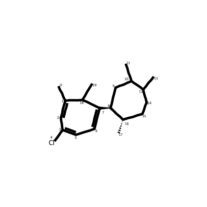 CC1=CC(Cl)=CC=C([C@H]2CC(C)C(C)CC[C@@H]2C)C1C